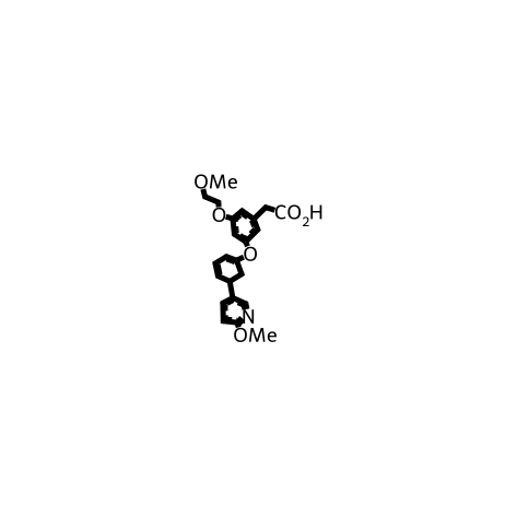 COCCOc1cc(CC(=O)O)cc(OC2=CC=CC(c3ccc(OC)nc3)C2)c1